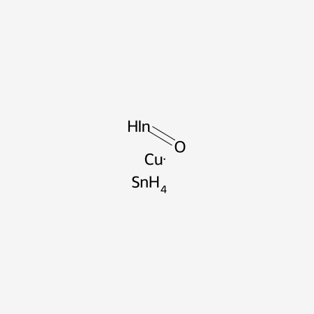 [Cu].[O]=[InH].[SnH4]